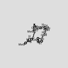 CCn1nnc2c1-c1ccccc1N(C(=O)CCC(=O)NCC(=O)NCC(=O)N[C@H](C(=O)N[C@@H](C)C(=O)Nc1ccc(COC(=O)N3c4cc(OCCCCCOc5cc6c(cc5OC)C(=O)N5C=C(c7ccc(OC)cc7)C[C@H]5CN6)c(OC)cc4C(=O)N4CC5(CC5)C[C@H]4C3O)cc1)C(C)C)Cc1ccccc1-2